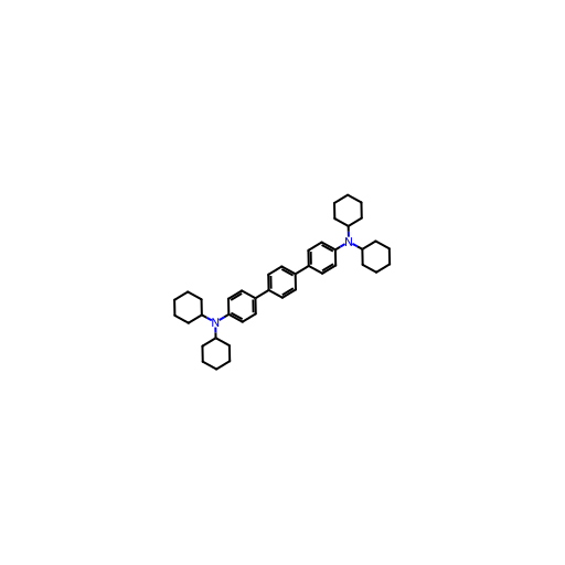 c1cc(-c2ccc(N(C3CCCCC3)C3CCCCC3)cc2)ccc1-c1ccc(N(C2CCCCC2)C2CCCCC2)cc1